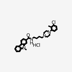 Cc1c(Cl)cccc1N1CCN(CCCCNC(=O)c2ccc3c4ccccc4n(C)c3c2)CC1.Cl